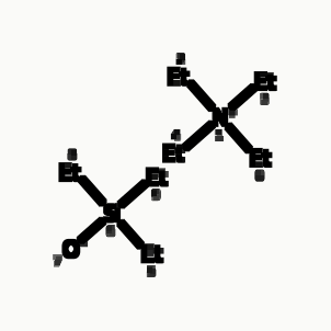 CC[N+](CC)(CC)CC.CC[Si]([O-])(CC)CC